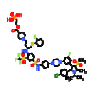 Cc1c(S(C)(=O)=O)c(-c2cc(F)cc(N3CCN(c4ccc(NS(=O)(=O)c5ccc(NC(CCN6CCC(C(=O)OCCP(=O)(O)O)CC6)CSc6ccccc6F)c(S(=O)(=O)C(F)(F)F)c5)cc4)CC3)c2)c(-c2ccc(Cl)cc2)n1C(C)C